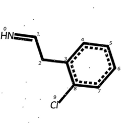 N=CCc1ccccc1Cl